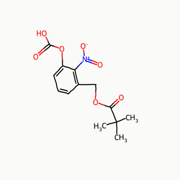 CC(C)(C)C(=O)OCc1cccc(OC(=O)O)c1[N+](=O)[O-]